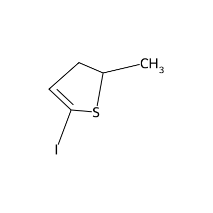 CC1CC=C(I)S1